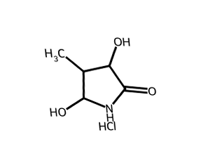 CC1C(O)NC(=O)C1O.Cl